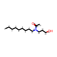 CCCCCCCCCN(CCCO)C(C)=O